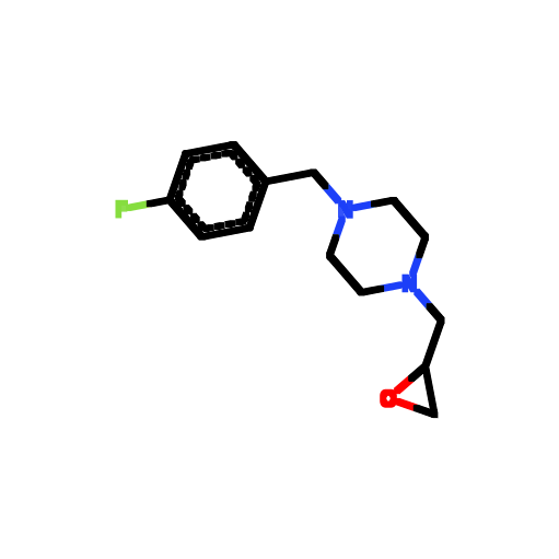 Fc1ccc(CN2CCN(CC3CO3)CC2)cc1